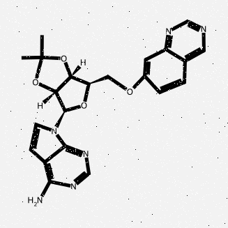 CC1(C)O[C@@H]2[C@H](O1)[C@@H](COc1ccc3cncnc3c1)O[C@H]2n1ccc2c(N)ncnc21